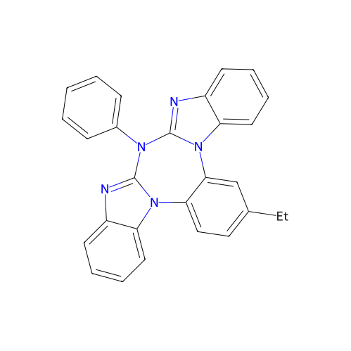 CCc1ccc2c(c1)n1c3ccccc3nc1n(-c1ccccc1)c1nc3ccccc3n21